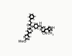 COc1ncc(-c2cnc(N(C(=O)CCc3ccccc3)[C@H]3CC[C@H](Nc4ncc(C#N)c(-c5c[nH]nc5C)n4)CC3)nc2)cn1